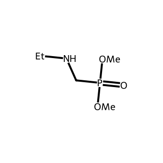 CCNCP(=O)(OC)OC